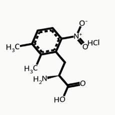 Cc1ccc([N+](=O)[O-])c(C[C@H](N)C(=O)O)c1C.Cl